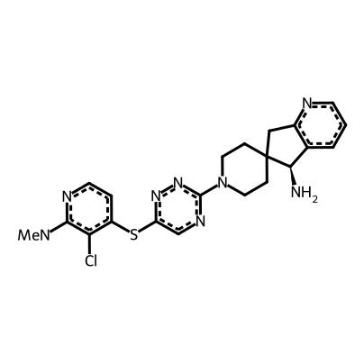 CNc1nccc(Sc2cnc(N3CCC4(CC3)Cc3ncccc3[C@H]4N)nn2)c1Cl